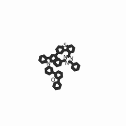 c1ccc(-c2nc(-c3ccccc3)nc(-c3cccc4sc5ccc(-c6ccc7c(c6)c6ccccc6n7-c6cccc(-c7cccc8c7oc7ccccc78)c6)cc5c34)n2)cc1